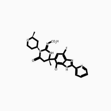 C[C@H]1C[C@@H](N2C(=O)C[C@@](C)(c3cc(F)c4nc(-c5ccccn5)[nH]c4c3Cl)N/C2=N\C(=O)O)CCO1